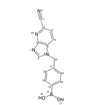 N#Cc1ccc2c(ncn2Cc2ccc(B(O)O)cc2)n1